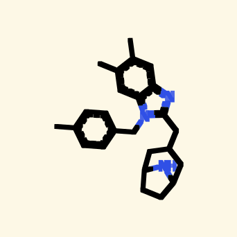 Cc1ccc(Cn2c(CC3CC4CCC(C3)N4)nc3cc(C)c(C)cc32)cc1